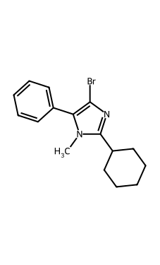 Cn1c(C2CCCCC2)nc(Br)c1-c1ccccc1